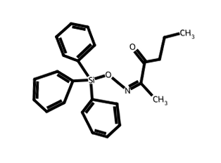 CCCC(=O)C(C)=NO[Si](c1ccccc1)(c1ccccc1)c1ccccc1